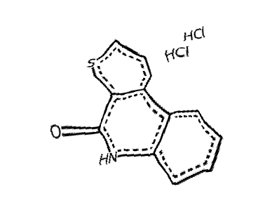 Cl.Cl.O=c1[nH]c2ccccc2c2ccsc12